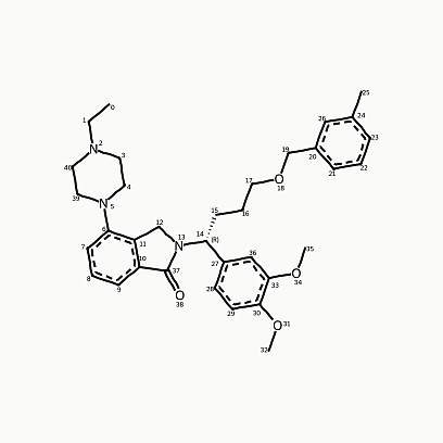 CCN1CCN(c2cccc3c2CN([C@H](CCCOCc2cccc(C)c2)c2ccc(OC)c(OC)c2)C3=O)CC1